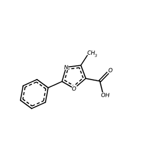 Cc1nc(-c2ccccc2)oc1C(=O)O